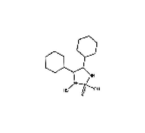 OP1(=S)NC(C2CCCCC2)C(C2CCCCC2)N1S